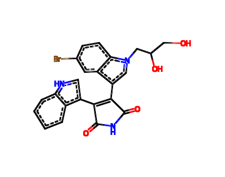 O=C1NC(=O)C(c2cn(CC(O)CO)c3ccc(Br)cc23)=C1c1c[nH]c2ccccc12